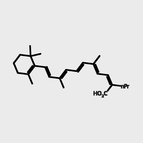 CCCC(=CC=C(C)C=CC=C(C)C=CC1=C(C)CCCC1(C)C)C(=O)O